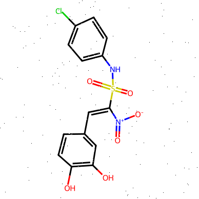 O=[N+]([O-])/C(=C\c1ccc(O)c(O)c1)S(=O)(=O)Nc1ccc(Cl)cc1